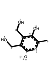 Cc1ncc(CO)c(CO)c1O.O